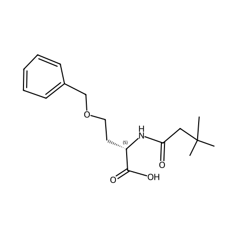 CC(C)(C)CC(=O)N[C@@H](CCOCc1ccccc1)C(=O)O